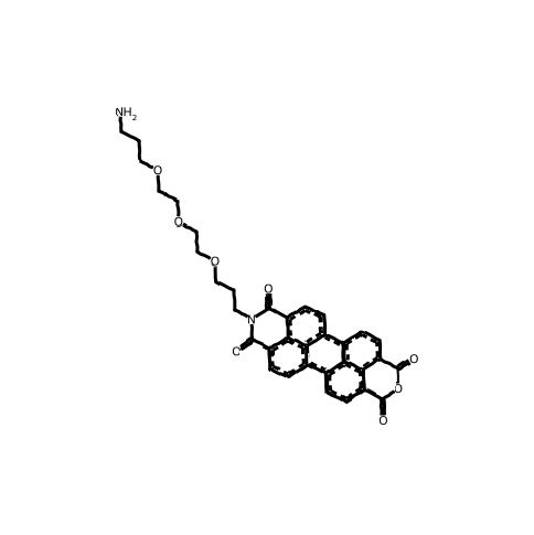 NCCCOCCOCCOCCCN1C(=O)c2ccc3c4ccc5c6c(ccc(c7ccc(c2c37)C1=O)c64)C(=O)OC5=O